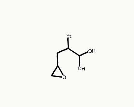 CCC(CC1CO1)C(O)O